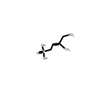 C/C(=C\CP(=O)(O)O)C[N+](=O)[O-]